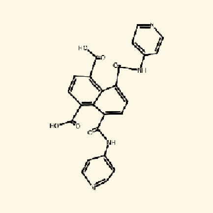 O=C(O)c1ccc(C(=O)O)c2c(C(=O)Nc3ccncc3)ccc(C(=O)Nc3ccncc3)c12